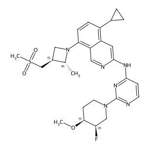 CO[C@H]1CCN(c2nccc(Nc3cc4c(C5CC5)ccc(N5C[C@H](CS(C)(=O)=O)[C@H]5C)c4cn3)n2)C[C@H]1F